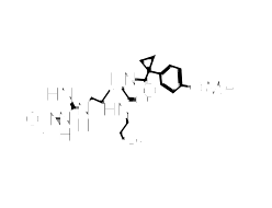 COc1ccc(C2(C(=O)N[C@@H](CCCNC(=N)N[N+](=O)[O-])C(=O)NCCC(C)C)CC2)cc1